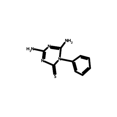 Nc1nc(N)n(-c2ccccc2)c(=S)n1